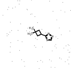 CC1(C)CC(c2nncs2)C1